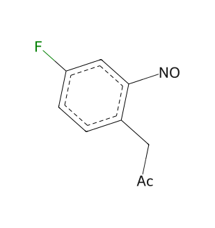 CC(=O)Cc1ccc(F)cc1N=O